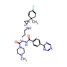 CN1CCN(C(=O)[C@H](CCCN[C@@H]2C[C@H]2C2(C)C=CC(F)=CC2)NC(=O)c2ccc(-c3ncncn3)cc2)CC1